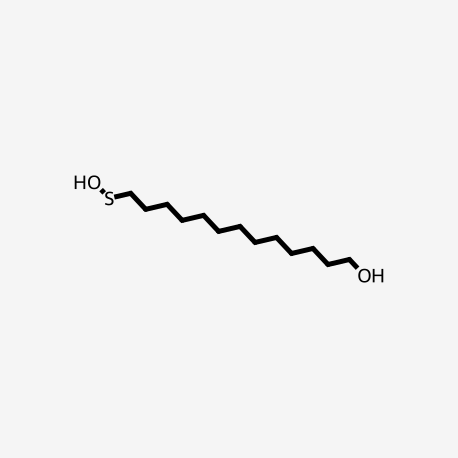 OCCCCCCCCCCCCCSO